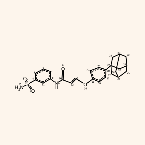 NS(=O)(=O)c1cccc(NC(=O)C=COc2ccc(C34CC5CC(CC(C5)C3)C4)cc2)c1